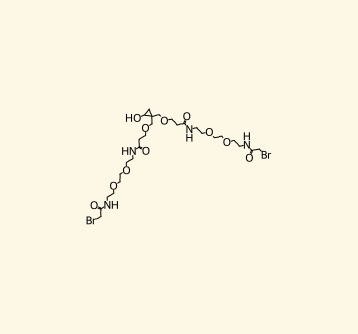 O=C(CBr)NCCOCCOCCNC(=O)CCOCC1(COCCC(=O)NCCOCCOCCNC(=O)CBr)CC1O